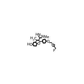 CN/C=C(\C=N)C1=C(C)c2cc(O)ccc2OC1c1ccc(OCCN2CC(CF)C2)cc1